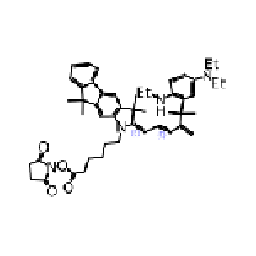 C=C(/C=C/C=C1/N(CCCCCC(=O)ON2C(=O)CCC2=O)c2cc3c(cc2C1(C)C)-c1ccccc1C3(C)C)C(C)(C)c1cc(N(CC)CC)ccc1NCC